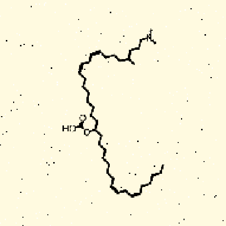 CCCCC/C=C\C/C=C\CCCCCCCC(CCCCCCC/C=C\C/C=C\CCCC(C)CCCN(C)C)OC(=O)O